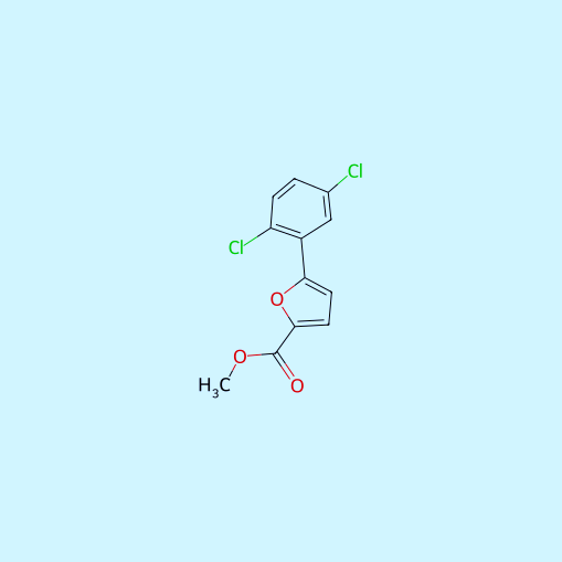 COC(=O)c1ccc(-c2cc(Cl)ccc2Cl)o1